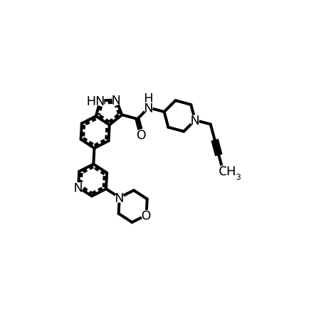 CC#CCN1CCC(NC(=O)c2n[nH]c3ccc(-c4cncc(N5CCOCC5)c4)cc23)CC1